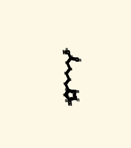 O=C(O)CCCCCc1c[nH]nn1